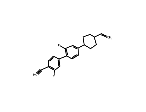 C#Cc1ccc(-c2ccc(C3CCC(C=C)CC3)cc2F)cc1F